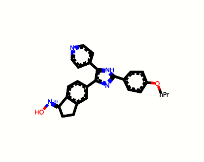 CCCOc1ccc(-c2nc(-c3ccc4c(c3)CC/C4=N\O)c(-c3ccncc3)[nH]2)cc1